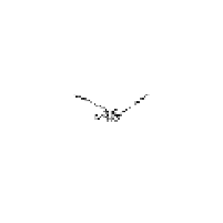 CCCC/C=C/CCCCCCCC(O)OCCC(CCCCCCC/C=C/CCCC)OCCN(C)C